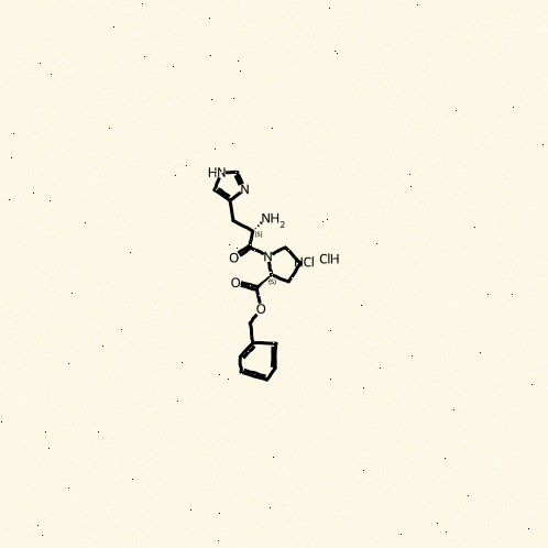 Cl.Cl.N[C@@H](Cc1c[nH]cn1)C(=O)N1CCC[C@H]1C(=O)OCc1ccccc1